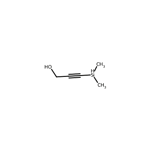 C[SiH](C)C#CCO